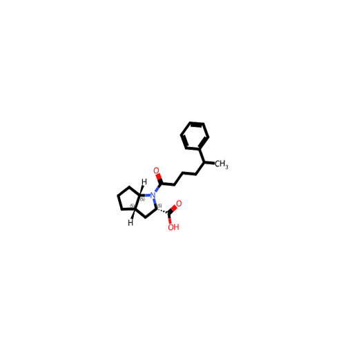 CC(CCCC(=O)N1[C@H](C(=O)O)C[C@@H]2CCC[C@@H]21)c1ccccc1